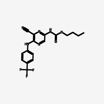 CCCCOC(=O)Nc1cnc(Nc2ccc(C(F)(F)F)cc2)c(C#N)n1